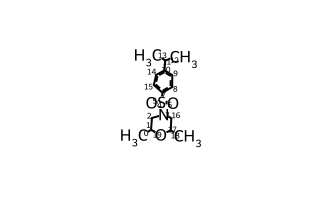 CC1CN(S(=O)(=O)c2ccc(C(C)C)cc2)CC(C)O1